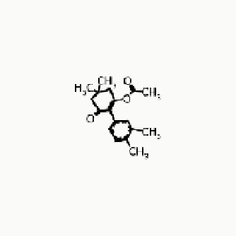 CC(=O)OC1=C(c2ccc(C)c(C)c2)C(=O)CC(C)(C)C1